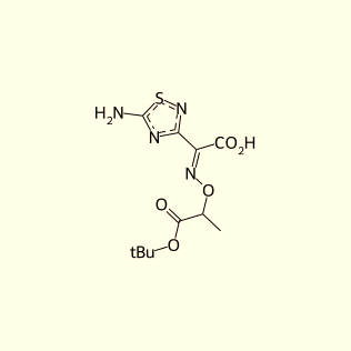 CC(O/N=C(\C(=O)O)c1nsc(N)n1)C(=O)OC(C)(C)C